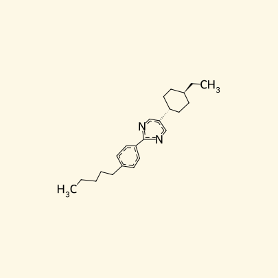 CCCCCc1ccc(-c2ncc([C@H]3CC[C@H](CC)CC3)cn2)cc1